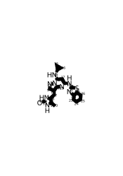 C=c1[nH]c(=O)[nH]/c1=C\c1cnn2c(NC3CC3)cc(Nc3nc4ccccc4s3)nc12